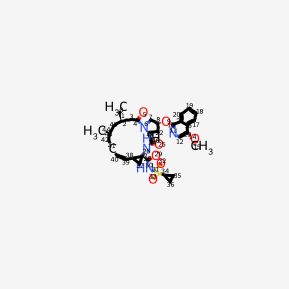 CC[C@H]1CC(=O)N2C[C@H](Oc3ncc(OC)c4ccccc34)C[C@H]2C(=O)N[C@]2(C(=O)NS(=O)(=O)C3CC3)CC2/C=C\CC[C@@H](C)C1